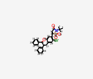 CC(C)(C)N1C(=O)C=C(c2ccc(CC(C(=O)c3ccccc3)c3ccccc3)cc2Br)S1(=O)=O